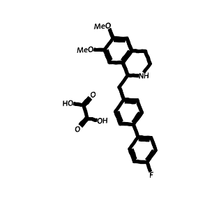 COc1cc2c(cc1OC)C(Cc1ccc(-c3ccc(F)cc3)cc1)NCC2.O=C(O)C(=O)O